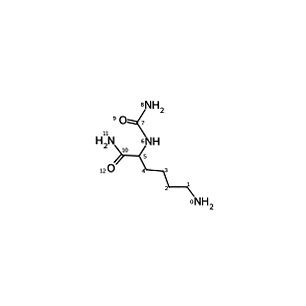 NCCCCC(NC(N)=O)C(N)=O